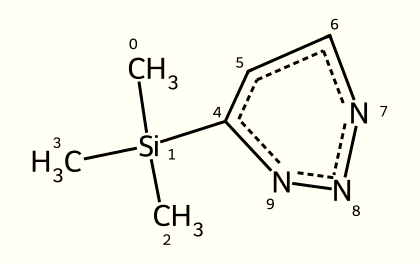 C[Si](C)(C)c1ccnnn1